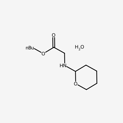 CCCCOC(=O)CNC1CCCCO1.O